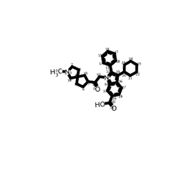 CN1CCC2(CCC(C(=O)Cn3c(-c4ccccc4)c(C4CCCCC4)c4ccc(C(=O)O)cc43)C2)C1